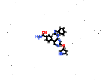 NC(O)c1ccc(-c2cnc(OC3CCNC3)nc2-n2cnc3ccccc32)cc1